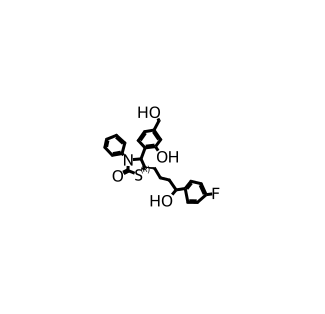 O=C1S[C@H](CCCC(O)c2ccc(F)cc2)C(c2ccc(CO)cc2O)N1c1ccccc1